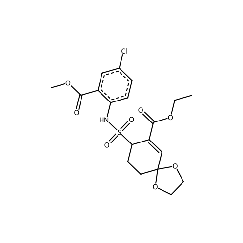 CCOC(=O)C1=CC2(CCC1S(=O)(=O)Nc1ccc(Cl)cc1C(=O)OC)OCCO2